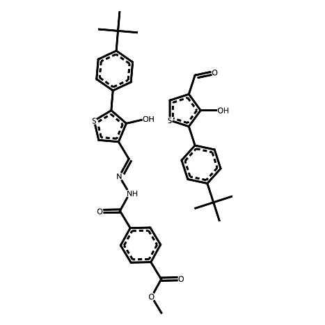 CC(C)(C)c1ccc(-c2scc(C=O)c2O)cc1.COC(=O)c1ccc(C(=O)NN=Cc2csc(-c3ccc(C(C)(C)C)cc3)c2O)cc1